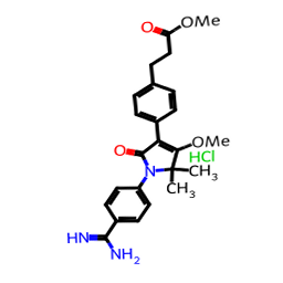 COC(=O)CCc1ccc(C2=C(OC)C(C)(C)N(c3ccc(C(=N)N)cc3)C2=O)cc1.Cl